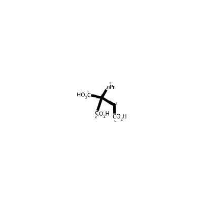 CCCC([CH]C(=O)O)(C(=O)O)C(=O)O